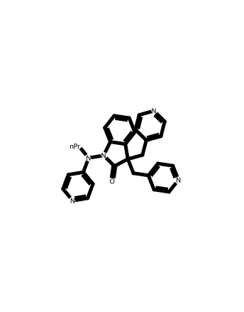 CCCN(c1ccncc1)N1C(=O)C(Cc2ccncc2)(Cc2ccncc2)c2ccccc21